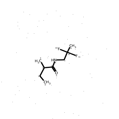 CCC(C)C(=O)NCC(C)(F)F